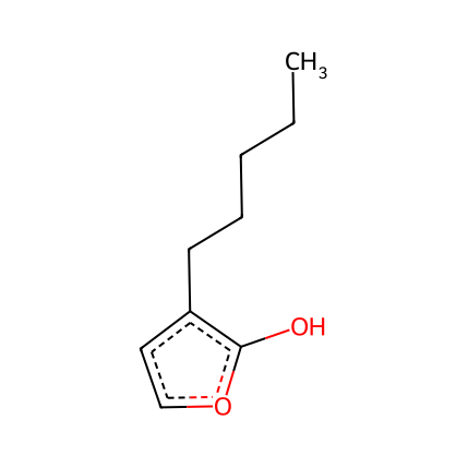 CCCCCc1ccoc1O